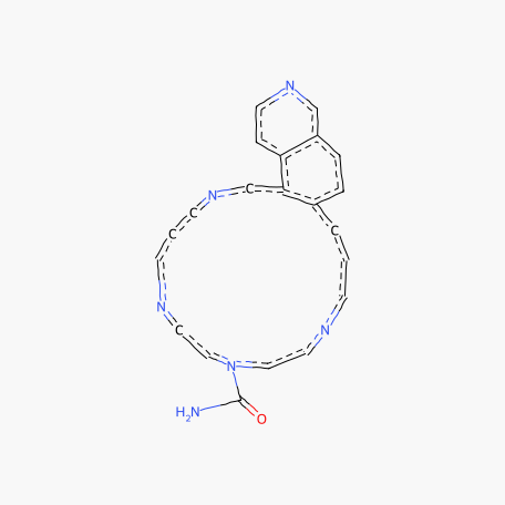 NC(=O)n1ccncccncc2c(cccncc1)ccc1cnccc12